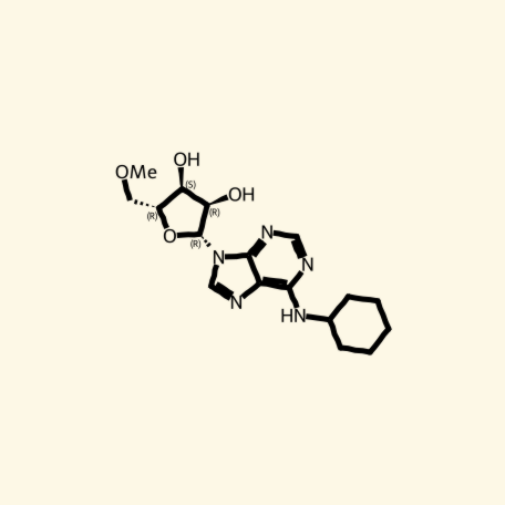 COC[C@H]1O[C@@H](n2cnc3c(NC4CCCCC4)ncnc32)[C@H](O)[C@@H]1O